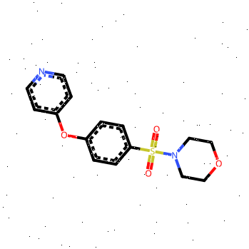 O=S(=O)(c1ccc(Oc2ccncc2)cc1)N1CCOCC1